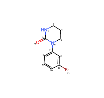 O=C1NCCCN1c1cccc(Br)c1